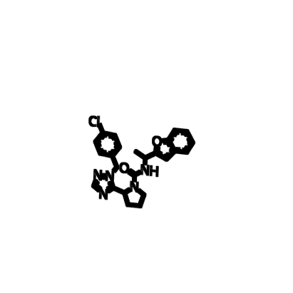 CC(NC(=O)N1CCCC1c1ncnn1Cc1ccc(Cl)cc1)c1cc2ccccc2o1